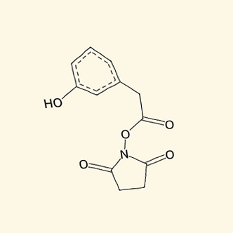 O=C(Cc1cccc(O)c1)ON1C(=O)CCC1=O